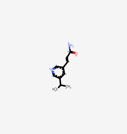 CC(C)c1cncc(/C=C/C(N)=O)c1